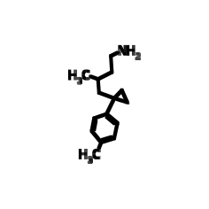 Cc1ccc(C2(CC(C)CCN)CC2)cc1